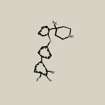 CC(=O)C1(c2ccccc2Sc2ccc(-c3ccc(F)c(Br)c3Br)cc2)CCNCC1